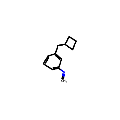 C=Nc1cccc(CC2CCC2)c1